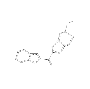 COc1ccc2[nH]c(C(=O)c3cc4ccccc4[nH]3)cc2c1